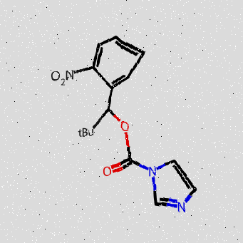 CC(C)(C)C(OC(=O)n1ccnc1)c1ccccc1[N+](=O)[O-]